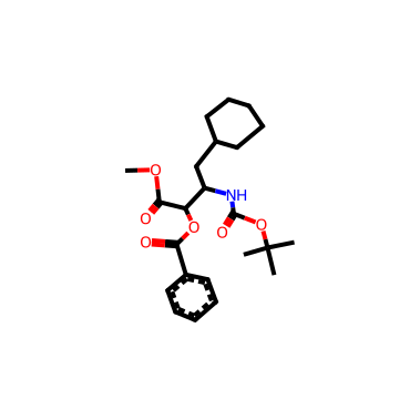 COC(=O)C(OC(=O)c1ccccc1)C(CC1CCCCC1)NC(=O)OC(C)(C)C